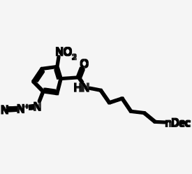 CCCCCCCCCCCCCCCCNC(=O)c1cc(N=[N+]=[N-])ccc1[N+](=O)[O-]